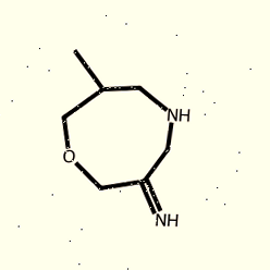 CC1CNCC(=N)COC1